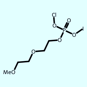 COCCOCCOP(=O)(OCl)OI